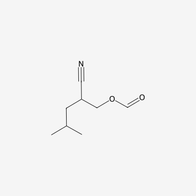 CC(C)CC(C#N)COC=O